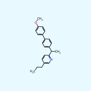 CCCc1ccc(C(C)c2ccc(-c3ccc(OC)cc3)cc2)nc1